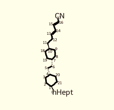 CCCCCCC[C@H]1CC[C@H](CC[C@H]2CC[C@H](CCC=CC=CC#N)CC2)CC1